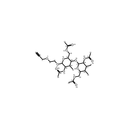 C#CCOCCOC1OC(COC(C)=O)C(OC2OC(COC(C)=O)C(C)C(C)C2OC(C)=O)C(C)C1OC(C)=O